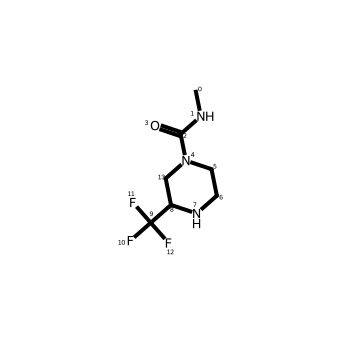 CNC(=O)N1CCNC(C(F)(F)F)C1